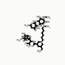 CCC1CC(C(=O)NC(C(C)Cl)C23OC([C@H]2O)[C@H](O)[C@@H](SC)O3)CN(CCCCCCN(C)[C@H]2[C@@H](O)[C@@H](NC)C(O)C3O[C@@H]4O[C@H](C)CC(=O)[C@]4(O)O[C@@H]32)C1